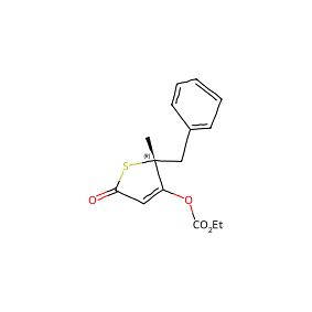 CCOC(=O)OC1=CC(=O)S[C@]1(C)Cc1ccccc1